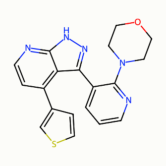 c1cnc(N2CCOCC2)c(-c2n[nH]c3nccc(-c4ccsc4)c23)c1